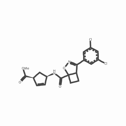 COC(=O)[C@@H]1C=C[C@H](NC(=O)C23CCC2C(c2cc(Cl)cc(Cl)c2)=NO3)C1